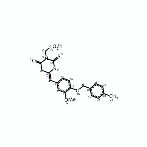 COc1cc(/C=C2/CC(=O)N(CC(=O)O)C(=S)S2)ccc1OCc1ccc(C)cc1